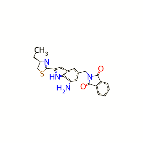 CC[C@@H]1CSC(c2cc3cc(CN4C(=O)c5ccccc5C4=O)cc(N)c3[nH]2)=N1